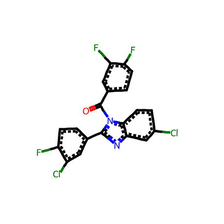 O=C(c1ccc(F)c(F)c1)n1c(-c2ccc(F)c(Cl)c2)nc2cc(Cl)ccc21